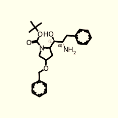 CC(C)(C)OC(=O)N1CC(OCc2ccccc2)CC1[C@@H](O)[C@@H](N)Cc1ccccc1